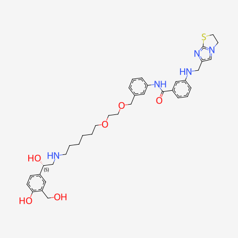 O=C(Nc1cccc(COCCOCCCCCCNC[C@@H](O)c2ccc(O)c(CO)c2)c1)c1cccc(NCc2cn3c(n2)SCC3)c1